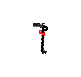 CCOC(=O)C1CCCC(C(=O)OCCCCCCCCCC(C)C)C1